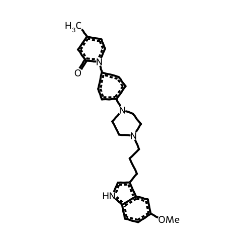 COc1ccc2[nH]cc(CCCN3CCN(c4ccc(-n5ccc(C)cc5=O)cc4)CC3)c2c1